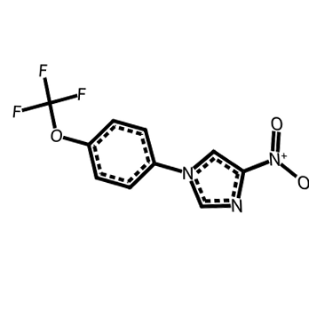 O=[N+]([O-])c1cn(-c2ccc(OC(F)(F)F)cc2)cn1